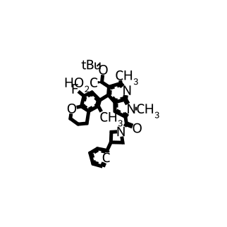 Cc1nc2c(cc(C(=O)N3CC(c4ccccc4)C3)n2C)c(-c2cc(F)c3c(c2C)CCCO3)c1[C@H](OC(C)(C)C)C(=O)O